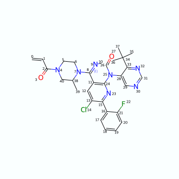 C=CC(=O)N1CCN(/C(=N/C)c2cc(Cl)c(-c3ccccc3F)nc2N(C=O)c2cncnc2C(C)(C)C)C(C)C1